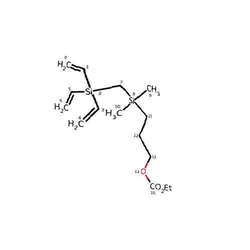 C=C[Si](C=C)(C=C)C[Si](C)(C)CCCOC(=O)OCC